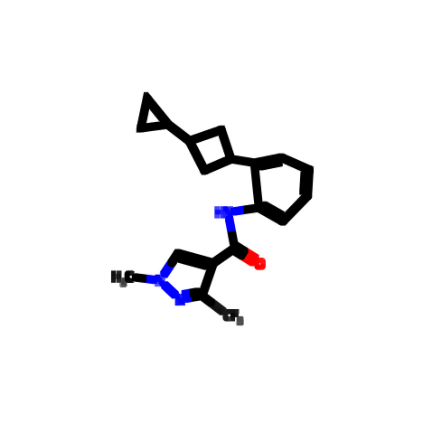 Cn1cc(C(=O)Nc2ccccc2C2CC(C3CC3)C2)c(C(F)(F)F)n1